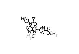 CCn1c(-c2cnc(C(=O)OC)nc2)nc2c(N(C(=O)C3CC3)[C@H]3CCNC3)ncnc21